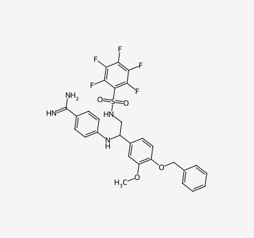 COc1cc(C(CNS(=O)(=O)c2c(F)c(F)c(F)c(F)c2F)Nc2ccc(C(=N)N)cc2)ccc1OCc1ccccc1